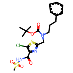 CC(C)(C)OC(=O)N(CCCc1ccccc1)Cc1nc(C(=O)NS(C)(=O)=O)c(Cl)s1